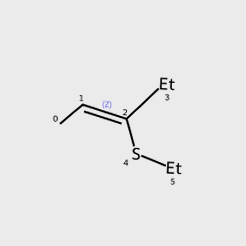 C/C=C(/CC)SCC